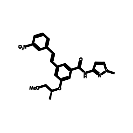 COC[C@H](C)Oc1cc(C=Cc2cccc([N+](=O)[O-])c2)cc(C(=O)Nc2ccn(C)n2)c1